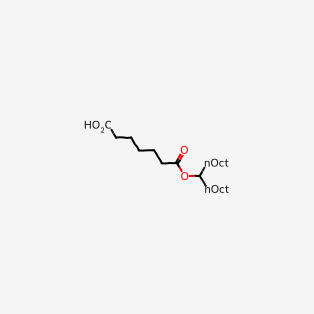 CCCCCCCCC(CCCCCCCC)OC(=O)CCCCCC(=O)O